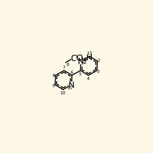 CC(=O)O.c1ccc(-c2ccccn2)nc1